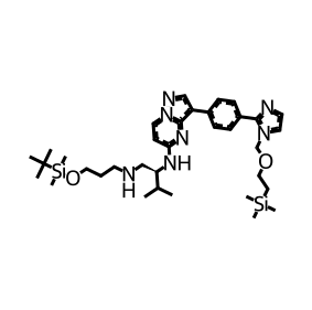 CC(C)[C@@H](CNCCCO[Si](C)(C)C(C)(C)C)Nc1ccn2ncc(-c3ccc(-c4nccn4COCC[Si](C)(C)C)cc3)c2n1